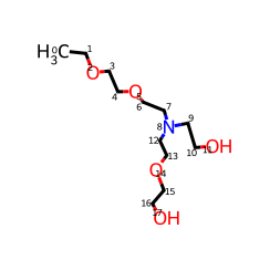 CCOCCOCCN(CCO)CCOCCO